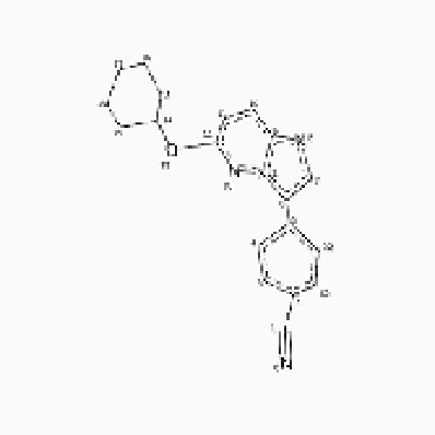 N#Cc1ccc(-c2cnc3ccc(OC4CCCCC4)nn23)cc1